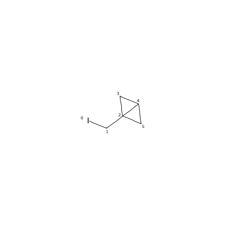 ICC12CC1C2